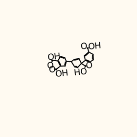 O=C(O)c1cccc(C2(C(=O)O)C=CC(c3ccc(C(=O)O)c(C(=O)O)c3)C=C2)c1